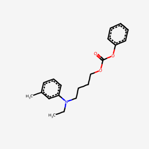 CCN(CCCCOC(=O)Oc1ccccc1)c1cccc(C)c1